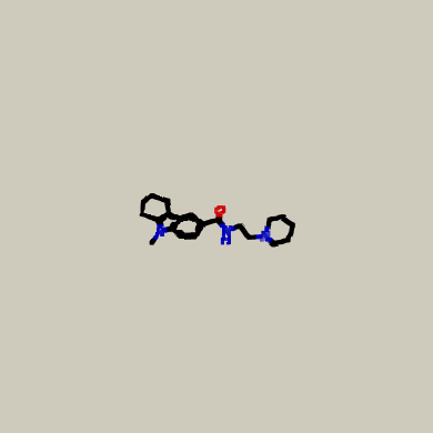 Cn1c2c(c3cc(C(=O)NCCN4CCCCC4)ccc31)CCCC2